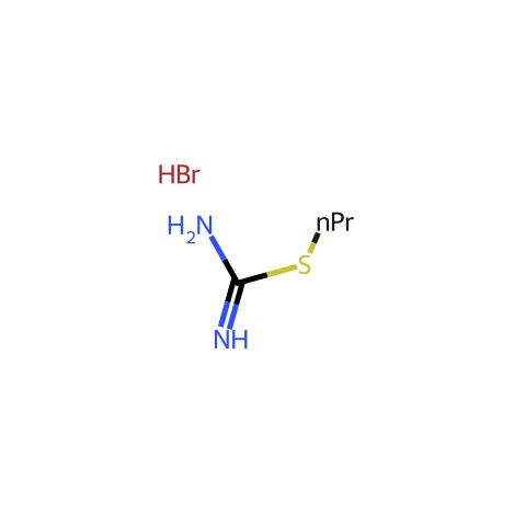 Br.CCCSC(=N)N